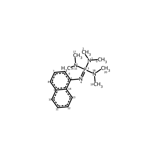 CN(C)P(=Nc1cccc2ccccc12)(N(C)C)N(C)C